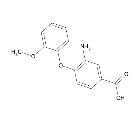 COc1ccccc1Oc1ccc(C(=O)O)cc1N